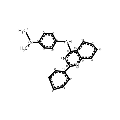 CN(C)c1ccc(Nc2nc(-c3ccccc3)nc3ccccc23)cc1